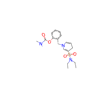 CCN(CC)S(=O)(=O)C1=CN(Cc2ccccc2OC(=O)N(C)C)C=CC1